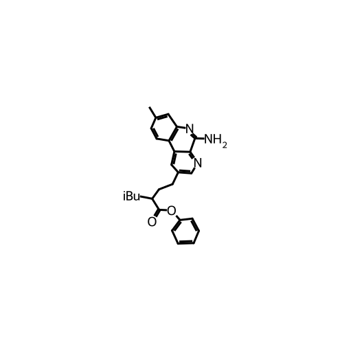 CCC(C)C(CCc1cnc2c(N)nc3cc(C)ccc3c2c1)C(=O)Oc1ccccc1